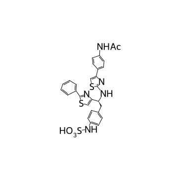 CC(=O)Nc1ccc(-c2csc(N[C@@H](Cc3ccc(NS(=O)(=O)O)cc3)c3csc(-c4ccccc4)n3)n2)cc1